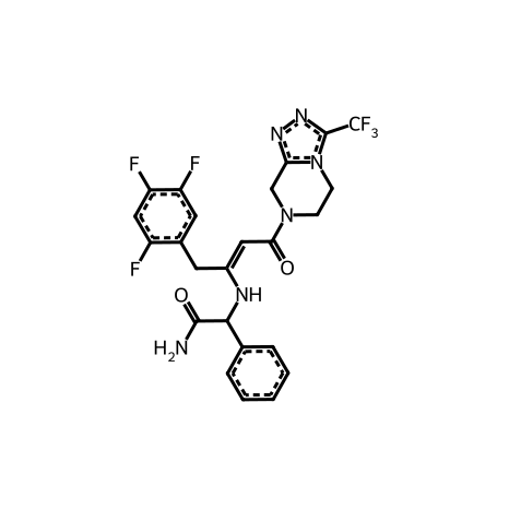 NC(=O)C(NC(=CC(=O)N1CCn2c(nnc2C(F)(F)F)C1)Cc1cc(F)c(F)cc1F)c1ccccc1